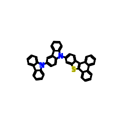 c1ccc2c(c1)c1ccccc1c1c3ccc(-n4c5ccccc5c5cc(-n6c7ccccc7c7ccccc76)ccc54)cc3sc21